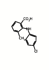 Cc1cccc(C(=O)O)c1Nc1ccc(Cl)cc1